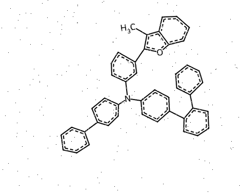 Cc1c(-c2cccc(N(c3ccc(-c4ccccc4)cc3)c3ccc(-c4ccccc4-c4ccccc4)cc3)c2)oc2ccccc12